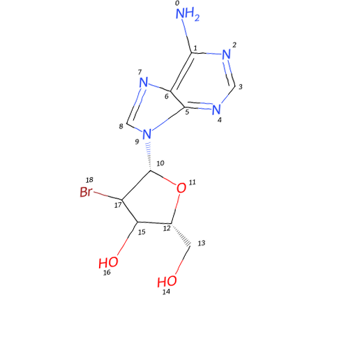 Nc1ncnc2c1ncn2[C@@H]1O[C@H](CO)C(O)C1Br